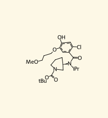 COCCCOc1cc(C(=O)N(C(C)C)[C@@H]2CCCN(C(=O)OC(C)(C)C)C2)c(Cl)cc1O